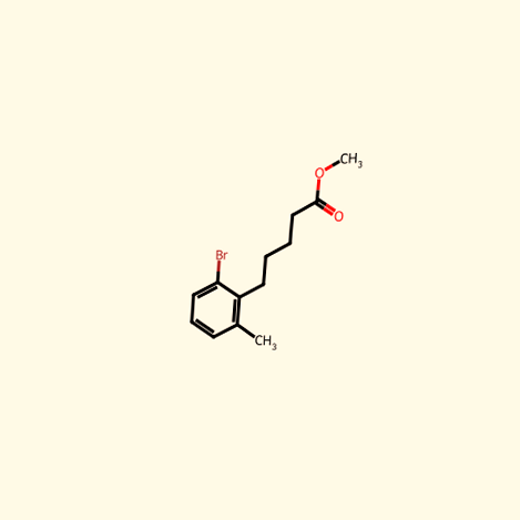 COC(=O)CCCCc1c(C)cccc1Br